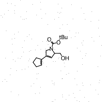 CC(C)(C)OC(=O)N1CC(C2=CCCC2)=CC1CO